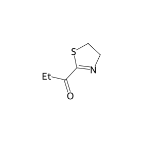 CCC(=O)C1=NCCS1